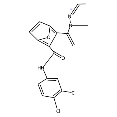 C=C(c1c(C(=O)Nc2ccc(Cl)c(Cl)c2)c2ccc1o2)N(C)/N=C\C